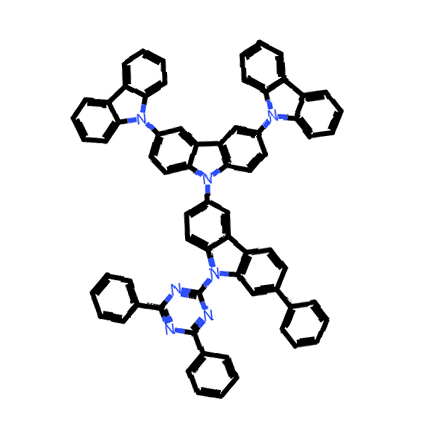 c1ccc(-c2ccc3c4cc(-n5c6ccc(-n7c8ccccc8c8ccccc87)cc6c6cc(-n7c8ccccc8c8ccccc87)ccc65)ccc4n(-c4nc(-c5ccccc5)nc(-c5ccccc5)n4)c3c2)cc1